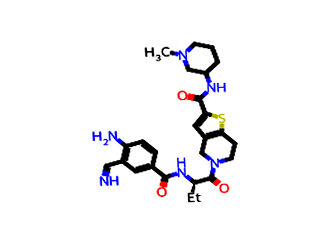 CC[C@@H](NC(=O)c1ccc(N)c(C=N)c1)C(=O)N1CCc2sc(C(=O)NC3CCCN(C)C3)cc2C1